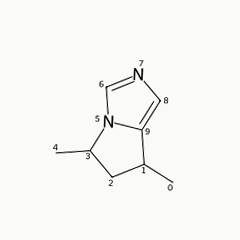 CC1CC(C)n2cncc21